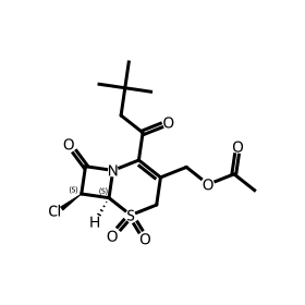 CC(=O)OCC1=C(C(=O)CC(C)(C)C)N2C(=O)[C@H](Cl)[C@@H]2S(=O)(=O)C1